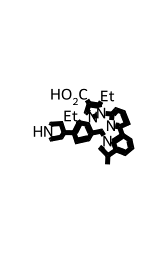 CCc1cc(CN2CC(C)c3cccc(-c4cccc(-n5ncc(C(=O)O)c5CC)n4)c32)ccc1C1CCNCC1